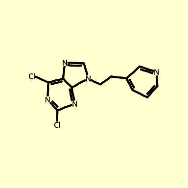 Clc1nc(Cl)c2ncn(CCc3cccnc3)c2n1